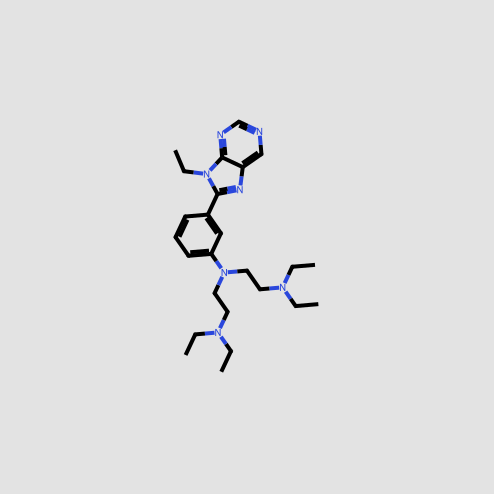 CCN(CC)CCN(CCN(CC)CC)c1cccc(-c2nc3cncnc3n2CC)c1